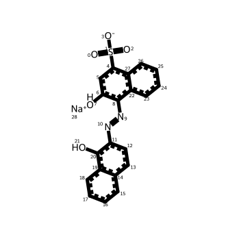 O=S(=O)([O-])c1cc(O)c(N=Nc2ccc3ccccc3c2O)c2ccccc12.[Na+]